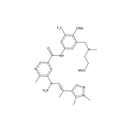 COCCN(C)Cc1cc(NC(=O)c2cnc(C)c(N(N)/C=C(\C)c3cnn(C)c3C)c2)cc(C(F)(F)F)c1OC